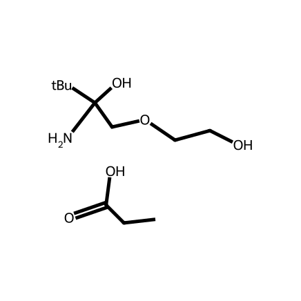 CC(C)(C)C(N)(O)COCCO.CCC(=O)O